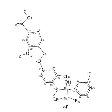 COC(=O)c1ccc(COc2ccc(C(C)C(O)(c3ccnc(C)c3)C(F)(F)F)c(Cl)c2)c(OC)c1